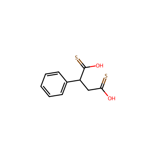 OC(=S)CC(C(O)=S)c1ccccc1